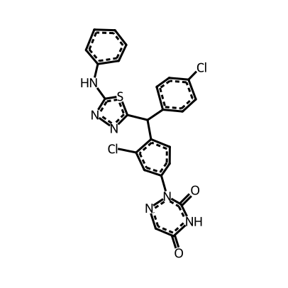 O=c1cnn(-c2ccc(C(c3ccc(Cl)cc3)c3nnc(Nc4ccccc4)s3)c(Cl)c2)c(=O)[nH]1